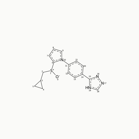 [O-][S+](CC1CC1)c1cccn1-c1ccc(-c2nnc[nH]2)cc1